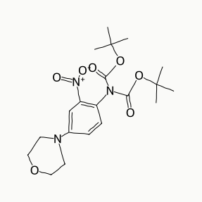 CC(C)(C)OC(=O)N(C(=O)OC(C)(C)C)c1ccc(N2CCOCC2)cc1[N+](=O)[O-]